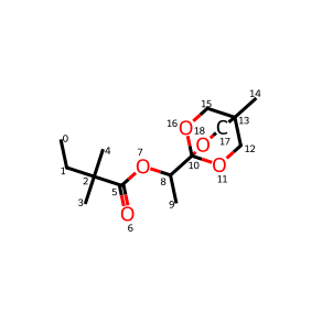 CCC(C)(C)C(=O)OC(C)C12OCC(C)(CO1)CO2